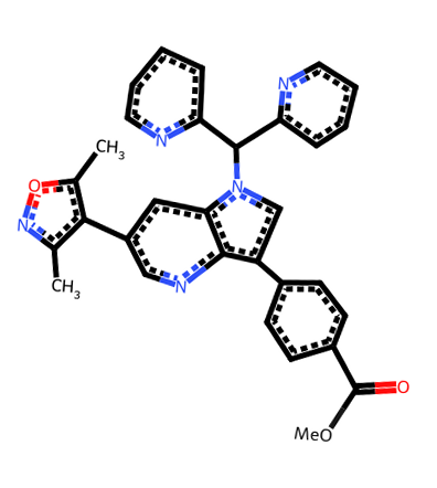 COC(=O)c1ccc(-c2cn(C(c3ccccn3)c3ccccn3)c3cc(-c4c(C)noc4C)cnc23)cc1